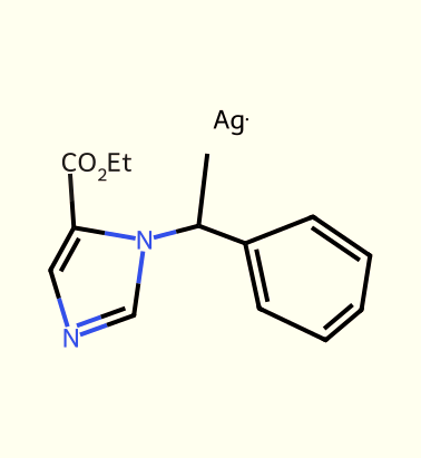 CCOC(=O)c1cncn1C(C)c1ccccc1.[Ag]